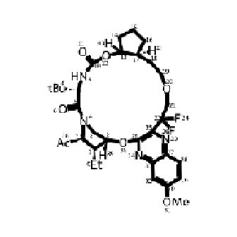 CC[C@@H]1[C@@H]2CN(C(=O)[C@H](C(C)(C)C)NC(=O)O[C@@H]3CCC[C@H]3CCOCC(F)(F)c3nc4ccc(OC)cc4nc3O2)[C@@H]1C(C)=O